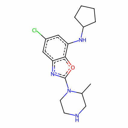 CC1CNCCN1c1nc2cc(Cl)cc(NC3CCCC3)c2o1